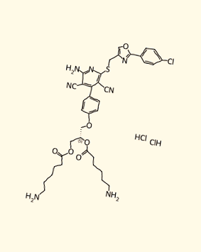 Cl.Cl.N#Cc1c(N)nc(SCc2coc(-c3ccc(Cl)cc3)n2)c(C#N)c1-c1ccc(OC[C@@H](COC(=O)CCCCCN)OC(=O)CCCCCN)cc1